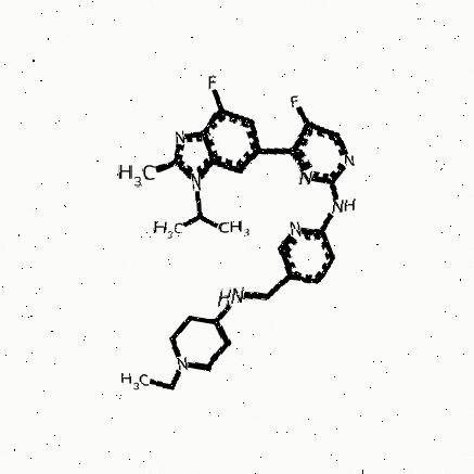 CCN1CCC(NCc2ccc(Nc3ncc(F)c(-c4cc(F)c5nc(C)n(C(C)C)c5c4)n3)nc2)CC1